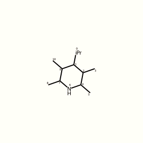 CC(C)C1C(C)C(C)NC(C)C1C